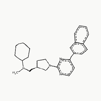 CN(C[C@H]1CCN(c2nccc(-c3ccc4ccccc4c3)n2)C1)C1CCCCC1